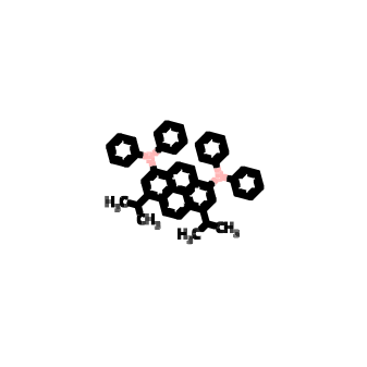 CC(C)c1cc(B(c2ccccc2)c2ccccc2)c2ccc3c(B(c4ccccc4)c4ccccc4)cc(C(C)C)c4ccc1c2c34